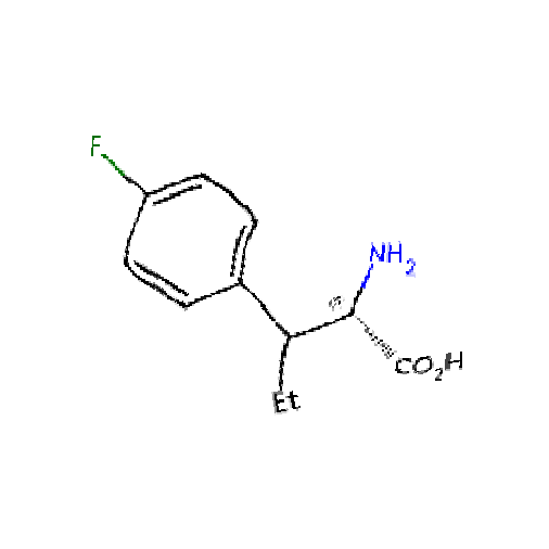 CCC(c1ccc(F)cc1)[C@H](N)C(=O)O